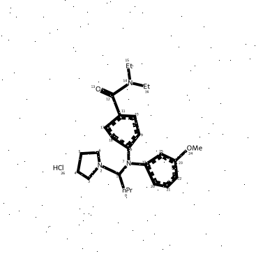 CCCC(N1CCCC1)N(c1ccc(C(=O)N(CC)CC)cc1)c1cccc(OC)c1.Cl